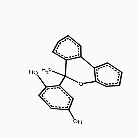 Oc1ccc(O)c(C2(P)Oc3ccccc3-c3ccccc32)c1